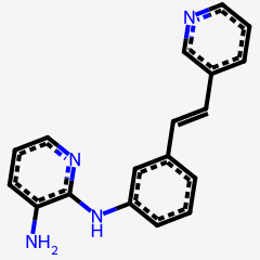 Nc1cccnc1Nc1cccc(C=Cc2cccnc2)c1